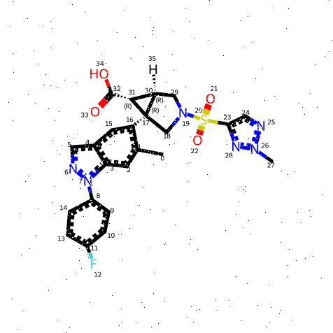 Cc1cc2c(cnn2-c2ccc(F)cc2)cc1[C@@]12CN(S(=O)(=O)c3cnn(C)n3)C[C@@H]1[C@H]2C(=O)O